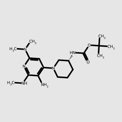 CNc1nc(N(C)C)cc(N2CCC[C@@H](NC(=O)OC(C)(C)C)C2)c1N